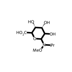 CON(C(C)C)C1OC(C(=O)O)[C@H](O)[C@H](O)C1O